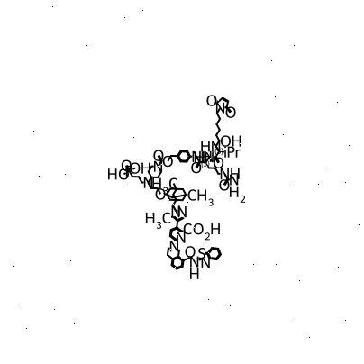 Cc1c(-c2ccc(N3CCc4cccc(C(=O)Nc5nc6ccccc6s5)c4C3)nc2C(=O)O)cnn1CC12CC3(C)CC(C)(C1)CC(OCCN(CCCP(=O)(O)O)C1CCN(C(=O)OCc4ccc(NC(=O)[C@H](CCCNC(N)=O)NC(=O)[C@@H](NC(O)CCCCCN5C(=O)C=CC5=O)C(C)C)cc4)CC1)(C3)C2